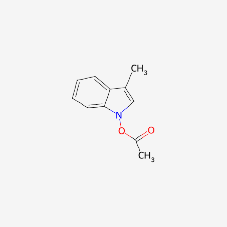 CC(=O)On1cc(C)c2ccccc21